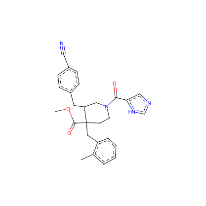 COC(=O)C1(Cc2ccccc2C)CCN(C(=O)c2cnc[nH]2)CC1Cc1ccc(C#N)cc1